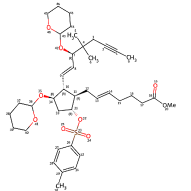 CC#CCC(C)(C)[C@@H](C=C[C@@H]1[C@@H](CC=CCCCC(=O)OC)[C@H](OS(=O)(=O)c2ccc(C)cc2)C[C@H]1OC1CCCCO1)OC1CCCCO1